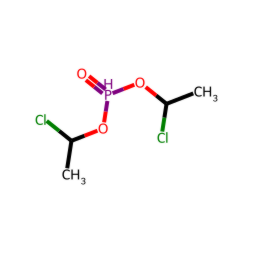 CC(Cl)O[PH](=O)OC(C)Cl